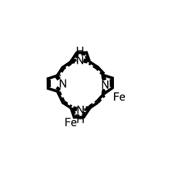 C1=Cc2cc3ccc(cc4nc(cc5ccc(cc1n2)[nH]5)C=C4)[nH]3.[Fe].[Fe]